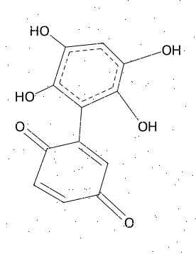 O=C1C=CC(=O)C(c2c(O)c(O)cc(O)c2O)=C1